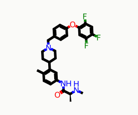 CN[C@@H](C)C(=O)Nc1ccc(C)c(C2CCN(Cc3ccc(Oc4cc(F)c(F)cc4F)cc3)CC2)c1